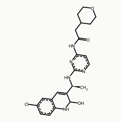 C[C@H](Nc1nccc(NC(=O)CC2CCOCC2)n1)C1=Cc2cc(Cl)ccc2NC1O